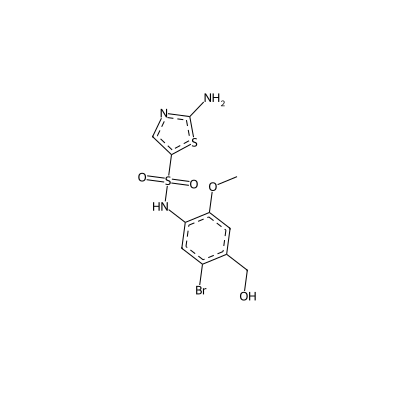 COc1cc(CO)c(Br)cc1NS(=O)(=O)c1cnc(N)s1